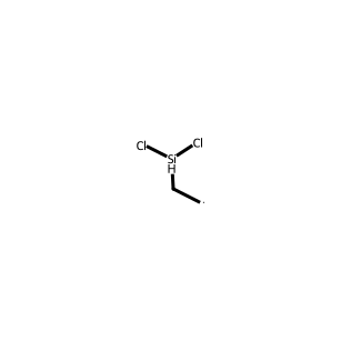 [CH2]C[SiH](Cl)Cl